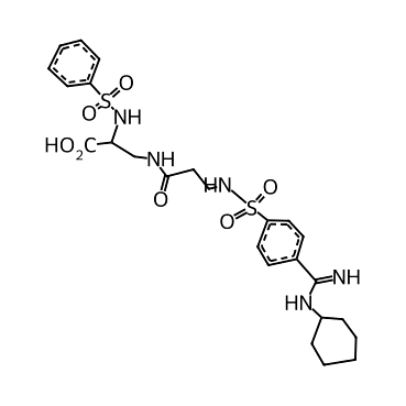 N=C(NC1CCCCC1)c1ccc(S(=O)(=O)NCCC(=O)NCC(NS(=O)(=O)c2ccccc2)C(=O)O)cc1